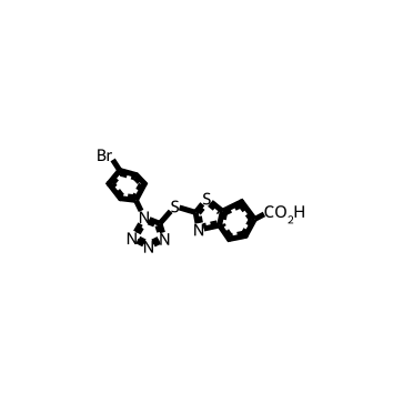 O=C(O)c1ccc2nc(Sc3nnnn3-c3ccc(Br)cc3)sc2c1